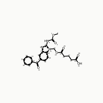 COC(=O)Nc1nc2cc(C(=O)c3ccccc3)ccc2n1COC(=O)CCCC(=O)O